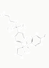 COCCOC(c1ccc(C2(S(=O)(=O)c3ccc(F)cc3)CCCC2)cc1)(C(F)(F)F)C(F)(F)F